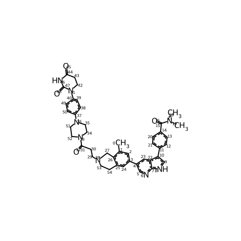 Cc1cc(-c2cnc3[nH]cc(-c4ccc(C(=O)N(C)C)cc4)c3c2)cc2c1CN(CCC(=O)N1CCN(c3ccc(N4CCC(=O)NC4=O)cc3)CC1)CC2